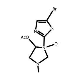 CC(=O)OC1CN(C)C[N+]1([O-])c1ncc(Br)s1